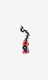 CC/C=C\C/C=C\C/C=C\CCCCOC(=O)Oc1ccc([N+](=O)[O-])cc1